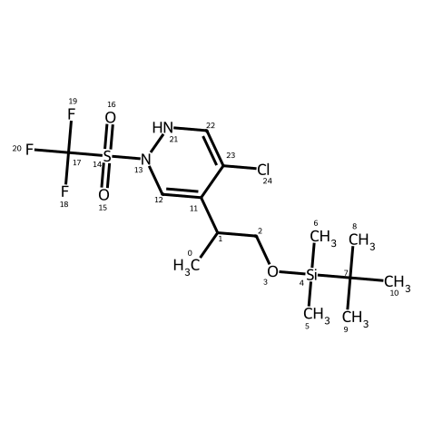 CC(CO[Si](C)(C)C(C)(C)C)C1=CN(S(=O)(=O)C(F)(F)F)NC=C1Cl